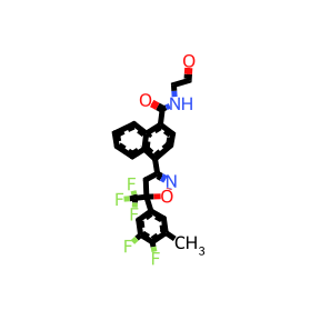 Cc1cc(C2(C(F)(F)F)CC(c3ccc(C(=O)NCC=O)c4ccccc34)=NO2)cc(F)c1F